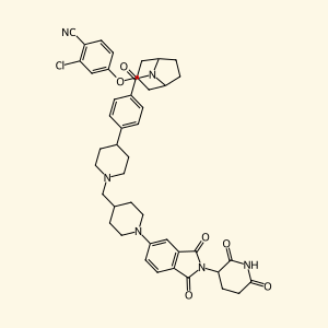 N#Cc1ccc(OC2CC3CCC(C2)N3C(=O)c2ccc(C3CCN(CC4CCN(c5ccc6c(c5)C(=O)N(C5CCC(=O)NC5=O)C6=O)CC4)CC3)cc2)cc1Cl